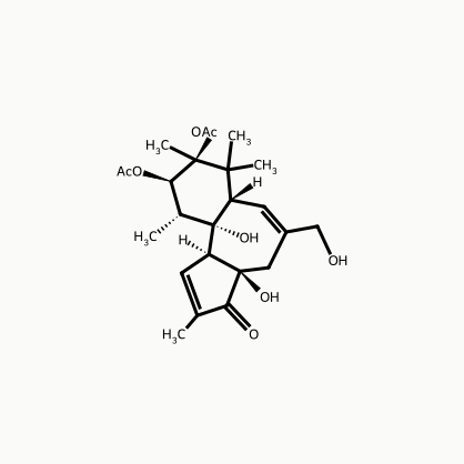 CC(=O)O[C@@H]1[C@@H](C)[C@@]2(O)[C@@H](C=C(CO)C[C@]3(O)C(=O)C(C)=C[C@@H]23)C(C)(C)[C@]1(C)OC(C)=O